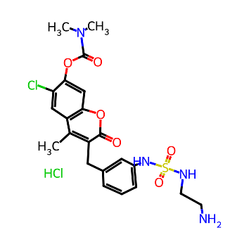 Cc1c(Cc2cccc(NS(=O)(=O)NCCN)c2)c(=O)oc2cc(OC(=O)N(C)C)c(Cl)cc12.Cl